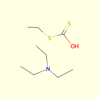 CCN(CC)CC.CCSC(O)=S